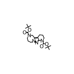 CC(C)(C)OC(=O)N1CCCn2nc3c(c2C1)CCCN3C(=O)OC(C)(C)C